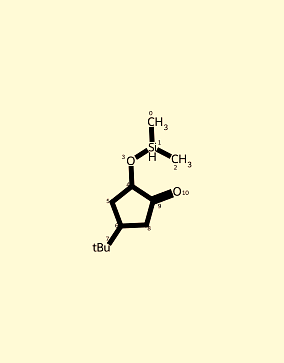 C[SiH](C)OC1CC(C(C)(C)C)CC1=O